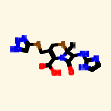 O=C(O)C1=C(CSc2c[nH]nn2)CS[C@@H]2C(Nc3ncc[nH]3)C(=O)N12